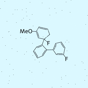 COC1=CC(F)(c2ccccc2-c2cccc(F)c2)CC=C1